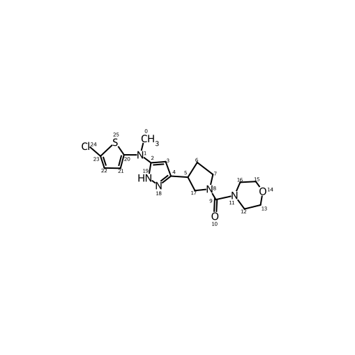 CN(c1cc(C2CCN(C(=O)N3CCOCC3)C2)n[nH]1)c1ccc(Cl)s1